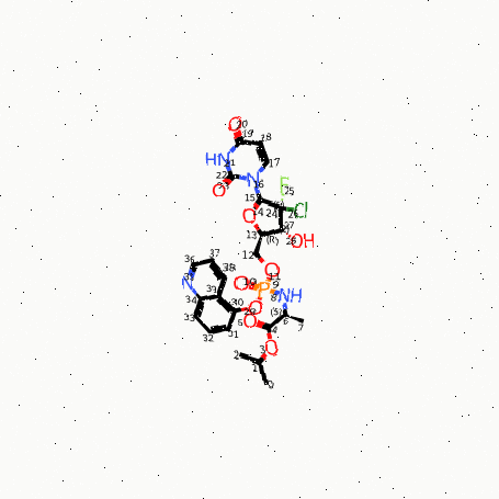 CC(C)OC(=O)[C@H](C)NP(=O)(OC[C@H]1OC(n2ccc(=O)[nH]c2=O)[C@@](F)(Cl)[C@@H]1O)Oc1cccc2ncccc12